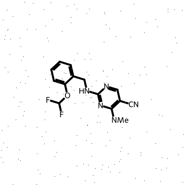 CNc1nc(NCc2ccccc2OC(F)F)ncc1C#N